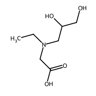 CCN(CC(=O)O)CC(O)CO